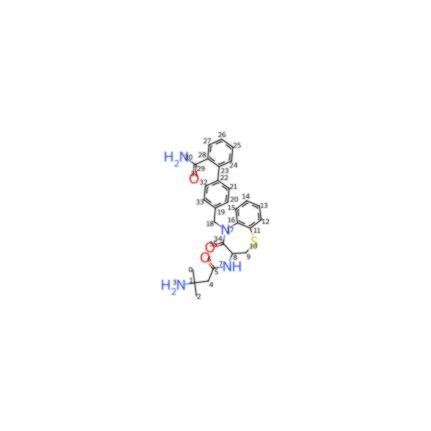 CC(C)(N)CC(=O)NC1CSc2ccccc2N(Cc2ccc(-c3ccccc3C(N)=O)cc2)C1=O